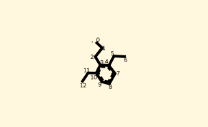 [CH2]CCc1c(CC)cccc1CC